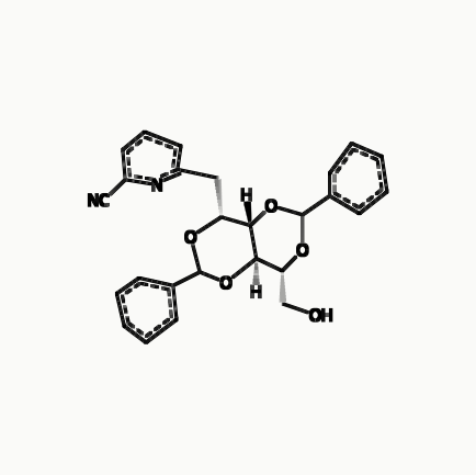 N#Cc1cccc(C[C@H]2OC(c3ccccc3)O[C@H]3[C@H]2OC(c2ccccc2)O[C@@H]3CO)n1